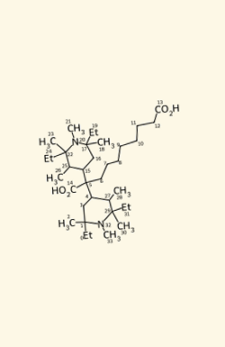 CCC1(C)CC(C(CCCCCCCC(=O)O)(C(=O)O)C2CC(C)(CC)N(C)C(C)(CC)C2C)C(C)C(C)(CC)N1C